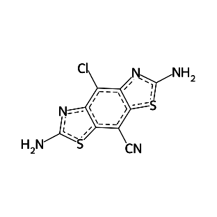 N#Cc1c2sc(N)nc2c(Cl)c2nc(N)sc12